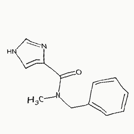 CN(Cc1ccccc1)C(=O)c1c[nH]cn1